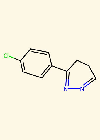 Clc1ccc(C2=NN=CCC2)cc1